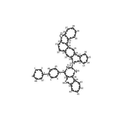 c1ccc(-c2ccc(-c3nc(-n4c5ccccc5c5cc6c(ccc7oc8ccccc8c76)cc54)nc4c3sc3ccccc34)cc2)cc1